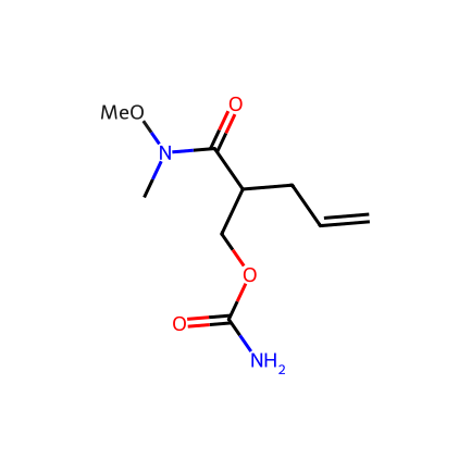 C=CCC(COC(N)=O)C(=O)N(C)OC